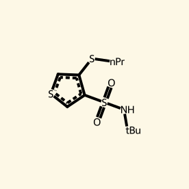 CCCSc1cscc1S(=O)(=O)NC(C)(C)C